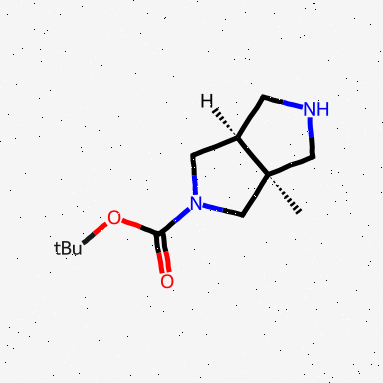 CC(C)(C)OC(=O)N1C[C@H]2CNC[C@@]2(C)C1